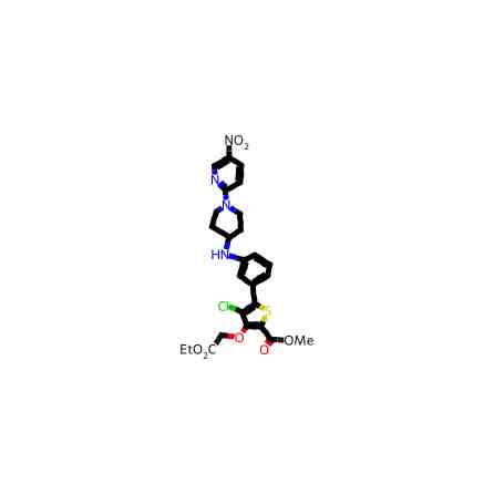 CCOC(=O)COc1c(C(=O)OC)sc(-c2cccc(NC3CCN(c4ccc([N+](=O)[O-])cn4)CC3)c2)c1Cl